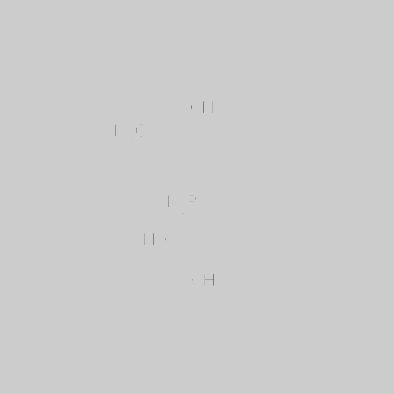 CC(C)CC1CCCCC1(P)CC(C)C